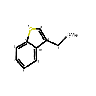 COCc1csc2ccccc12